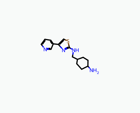 NC1CCC(CNc2nc(-c3cccnc3)cs2)CC1